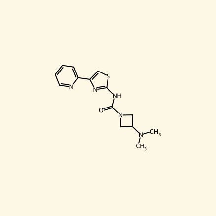 CN(C)C1CN(C(=O)Nc2nc(-c3ccccn3)cs2)C1